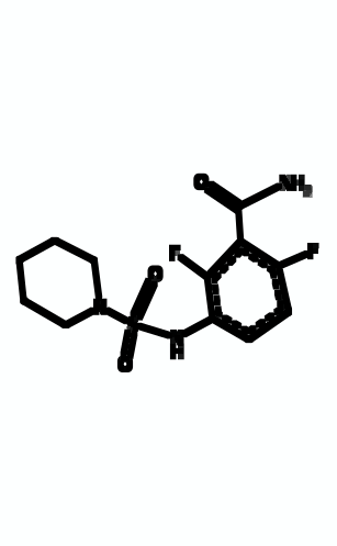 NC(=O)c1c(F)ccc(NS(=O)(=O)N2CCCCC2)c1F